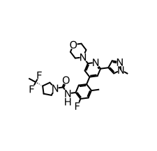 Cc1cc(F)c(NC(=O)N2CC[C@H](C(C)(F)F)C2)cc1-c1cc(-c2cnn(C)c2)nc(N2CCOCC2)c1